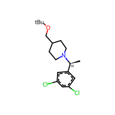 C[C@@H](c1cc(Cl)cc(Cl)c1)N1CCC(COC(C)(C)C)CC1